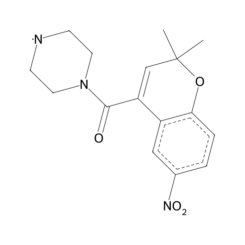 CC1(C)C=C(C(=O)N2CC[N]CC2)c2cc([N+](=O)[O-])ccc2O1